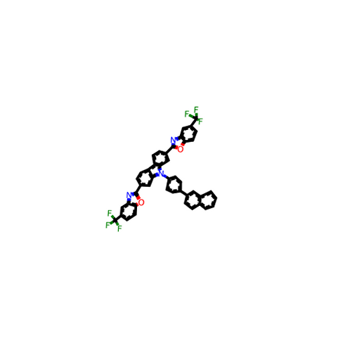 FC(F)(F)c1ccc2oc(-c3ccc4c5ccc(-c6nc7cc(C(F)(F)F)ccc7o6)cc5n(-c5ccc(-c6ccc7ccccc7c6)cc5)c4c3)nc2c1